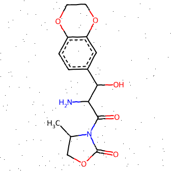 CC1COC(=O)N1C(=O)C(N)C(O)c1ccc2c(c1)OCCO2